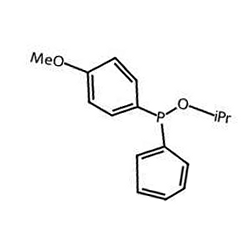 COc1ccc(P(OC(C)C)c2ccccc2)cc1